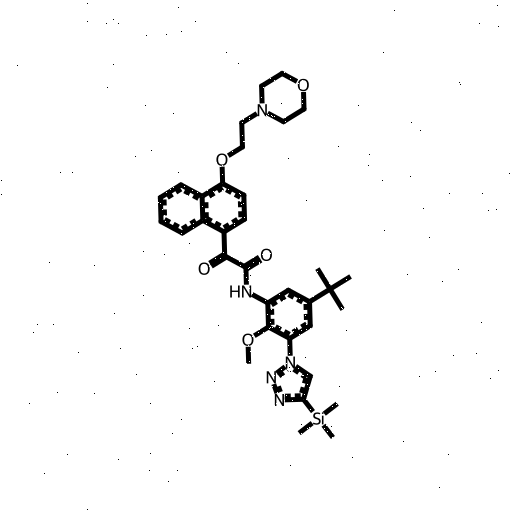 COc1c(NC(=O)C(=O)c2ccc(OCCN3CCOCC3)c3ccccc23)cc(C(C)(C)C)cc1-n1cc([Si](C)(C)C)nn1